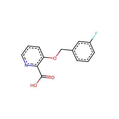 O=C(O)c1ncccc1OCc1cccc(F)c1